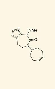 CNC1C(=O)N(C2CCC=CCC2)CCc2ccsc21